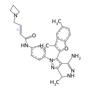 Cc1ccc2oc(-c3c4c(nn3-c3ccc(NC(=O)/C=C/CN5CCC5)cc3)C(C)NN=C4N)c(C)c2c1